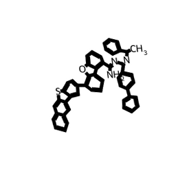 CC(/N=C(\N=C(/N)c1cccc2oc3c(-c4ccc5sc6cc7ccccc7cc6c5c4)cccc3c12)c1ccc(-c2ccccc2)cc1)c1ccccc1